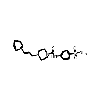 NS(=O)(=O)c1ccc(NC(=S)N2CCN(CC=Cc3ccccc3)CC2)cc1